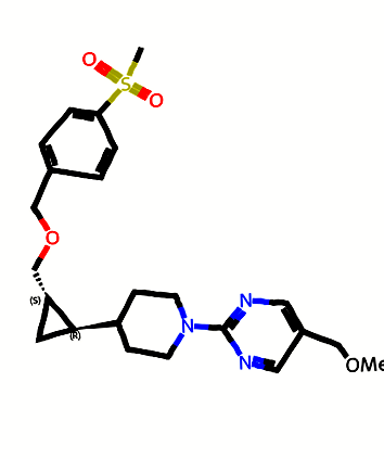 COCc1cnc(N2CCC([C@H]3C[C@@H]3COCc3ccc(S(C)(=O)=O)cc3)CC2)nc1